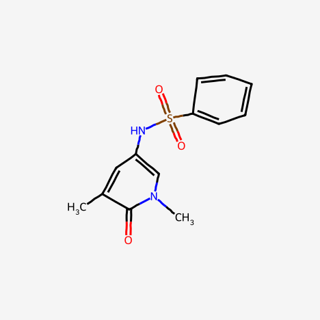 Cc1cc(NS(=O)(=O)c2ccccc2)cn(C)c1=O